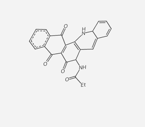 CCC(=O)NC1C(=O)C2=C(C(=O)c3ccccc3C2=O)C2=C1C=C1C=CC=CC1N2